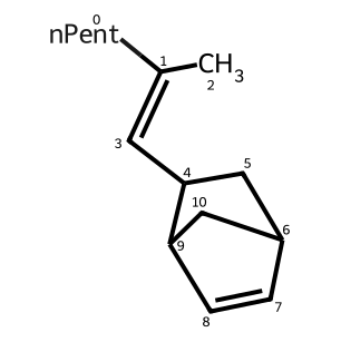 CCCCCC(C)=CC1CC2C=CC1C2